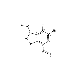 CCC1CCc2c(C=O)cc(Br)c(C)c21